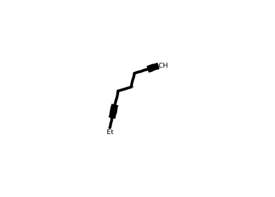 C#CC[CH]CC#CCC